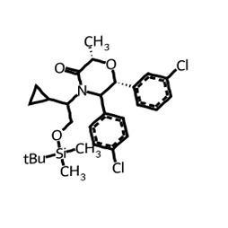 C[C@@H]1O[C@H](c2cccc(Cl)c2)C(c2ccc(Cl)cc2)N(C(CO[Si](C)(C)C(C)(C)C)C2CC2)C1=O